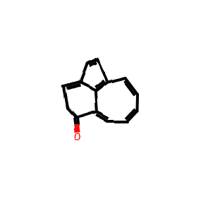 O=C1CC=C2C=CC3=C2C\1=C/C=C\C=C/3